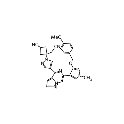 COc1ccc(COc2nn(C)cc2-c2cn3nccc3c(-c3cnn([C@]4(CC#N)C[C@@H](C#N)C4)c3)n2)cc1